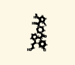 CNC1=C(C(=N)N2CCN(C(=O)[C@@H](c3ccc(Cl)cc3)[C@@H]3CCCN3CCCO)CC2)[C@H](C)CC1